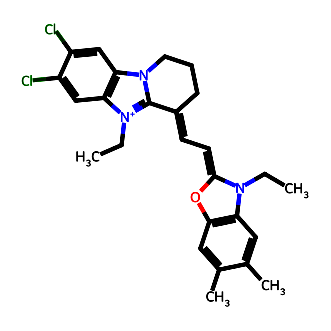 CCN1C(=CC=C2CCCn3c2[n+](CC)c2cc(Cl)c(Cl)cc23)Oc2cc(C)c(C)cc21